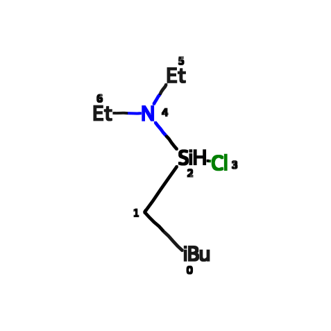 CCC(C)C[SiH](Cl)N(CC)CC